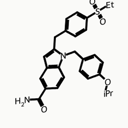 CCS(=O)(=O)c1ccc(Cc2cc3cc(C(N)=O)ccc3n2Cc2ccc(OC(C)C)cc2)cc1